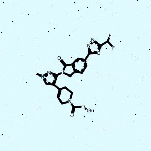 Cn1cc(C2=CCN(C(=O)OC(C)(C)C)CC2)c(N2Cc3ccc(-c4nnc(C(F)F)o4)cc3C2=O)n1